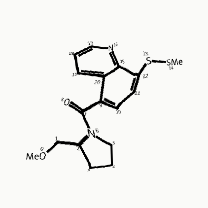 COCC1CCCN1C(=O)c1ccc(SSC)c2ncccc12